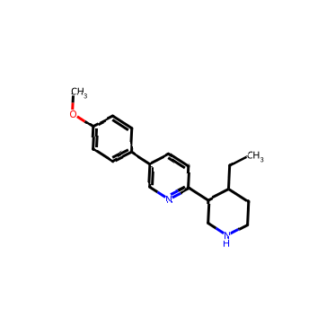 CCC1CCNCC1c1ccc(-c2ccc(OC)cc2)cn1